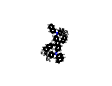 C[SiH](C)c1ccc(N(c2ccc3ccccc3c2)c2ccc3c(-c4ccc5ccccc5c4)c4cc(N(c5ccc([Si](C)(C)C)cc5)c5ccc6ccccc6c5)ccc4c(-c4ccc5ccccc5c4)c3c2)cc1